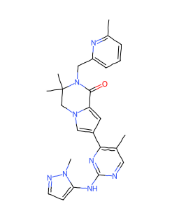 Cc1cccc(CN2C(=O)c3cc(-c4nc(Nc5ccnn5C)ncc4C)cn3CC2(C)C)n1